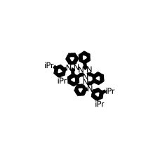 CC(C)c1cc(C(C)C)cc(-n2c(-c3ccccc3-c3nc(-c4ccccc4)nc(-c4ccccc4-c4nc5ccccc5n4-c4cc(C(C)C)cc(C(C)C)c4)n3)nc3ccccc32)c1